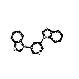 c1ccc2c(c1)sc[n+]2-c1cncc(-[n+]2csc3ccccc32)c1